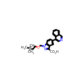 C[Si](C)(C)CCOCn1nc(C(=O)O)c2cc(-c3cncc4ccccc34)ccc21